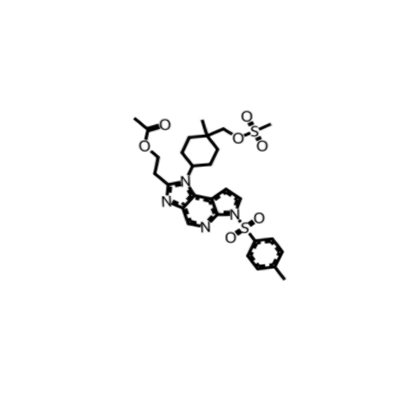 CC(=O)OCCc1nc2cnc3c(ccn3S(=O)(=O)c3ccc(C)cc3)c2n1C1CCC(C)(COS(C)(=O)=O)CC1